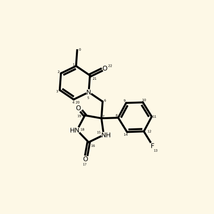 Cc1cccn(CC2(c3cccc(F)c3)NC(=O)NC2=O)c1=O